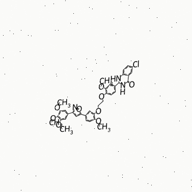 COc1cc(C2NC(=O)c3cc(Cl)ccc3N2)ccc1OCCOc1cc(-c2cc(-c3cc(OC)c(OC)c(OC)c3)no2)ccc1OC